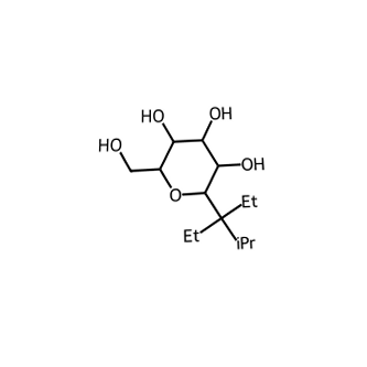 CCC(CC)(C(C)C)C1OC(CO)C(O)C(O)C1O